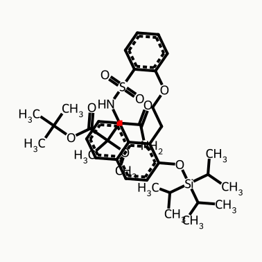 COC(C)(C(=O)OC(C)(C)C)C(NS(=O)(=O)c1ccccc1OCCc1c(O[Si](C(C)C)(C(C)C)C(C)C)ccc2ccccc12)C(N)=O